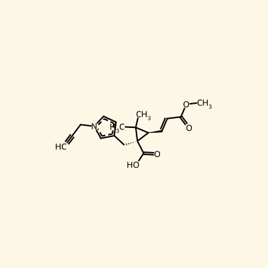 C#CCn1ccc(C[C@@]2(C(=O)O)[C@H](C=CC(=O)OC)C2(C)C)c1